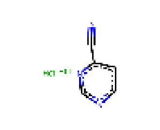 Cl.Cl.N#Cc1ccncn1